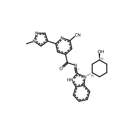 Cn1cc(-c2cc(C(=O)/N=c3\[nH]c4ccccc4n3[C@H]3CCC[C@H](O)C3)cc(C#N)n2)cn1